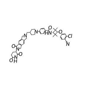 CC1(C)[C@H](NC(=O)c2ccc(N3CCC(CN4Cc5cc6c(cc5C4)C(=O)N(C4CCC(=O)NC4=O)C6)CC3)cc2)C(C)(C)[C@H]1Oc1ccc(C#N)c(Cl)c1